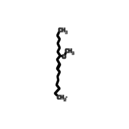 [CH2]CCCCCCC=CCC(CCCCCC)OC